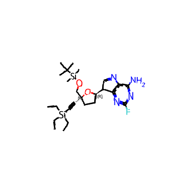 CC[Si](C#C[C@@]1(CO[Si](C)(C)C(C)(C)C)CC[C@H](C2C=Nc3c(N)nc(F)nc32)O1)(CC)CC